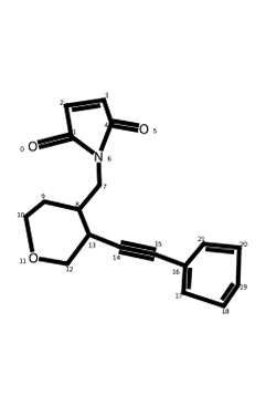 O=C1C=CC(=O)N1CC1CCOCC1C#Cc1ccccc1